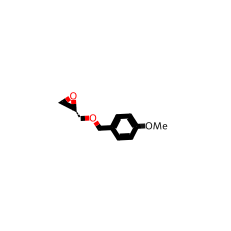 COc1ccc(COC[C@@H]2CO2)cc1